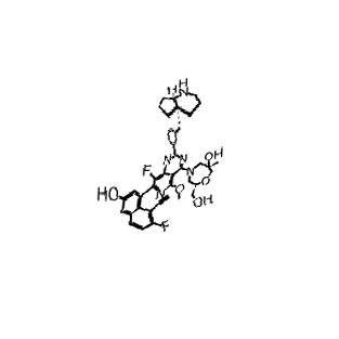 C#Cc1c(F)ccc2cc(O)cc(-c3nc(OC)c4c(N5C[C@H](CO)OC[C@@](C)(O)C5)nc(OC[C@@]56CCCN[C@@H]5CCC6)nc4c3F)c12